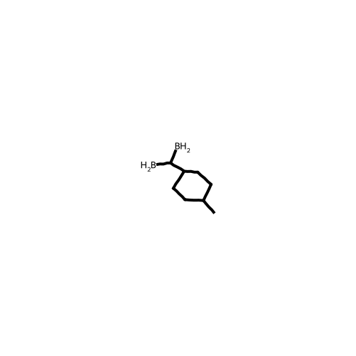 BC(B)C1CCC(C)CC1